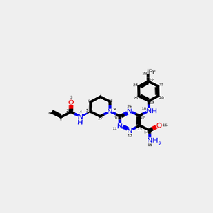 C=CC(=O)N[C@H]1CCCN(c2nnc(C(N)=O)c(Nc3ccc(C(C)C)cc3)n2)C1